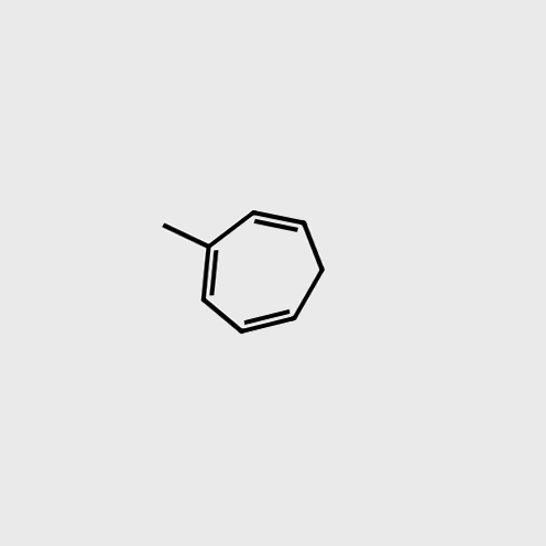 CC1=CC=CCC=C1